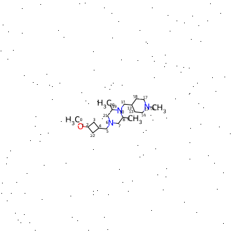 COC1CC(CN2CC(C)N(CC3CCN(C)CC3)C(C)C2)C1